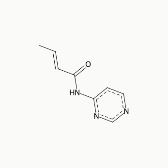 CC=CC(=O)Nc1ccncn1